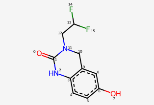 O=C1Nc2ccc(O)cc2CN1CC(F)F